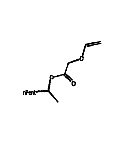 C=COCC(=O)OC(C)CCCCC